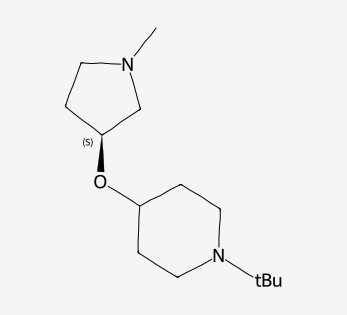 CN1CC[C@H](OC2CCN(C(C)(C)C)CC2)C1